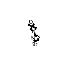 Brc1csc(N2CC3(COC3)C2)n1